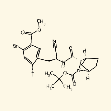 COC(=O)c1cc(C[C@@H](C#N)NC(=O)[C@@H]2[C@H]3CC[C@H](C3)N2C(=O)OC(C)(C)C)c(F)cc1Br